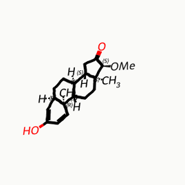 CO[C@@H]1C(=O)C[C@H]2[C@@H]3CC[C@@H]4C=C(O)C=C[C@]4(C)[C@H]3CC[C@]12C